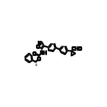 C[C@@H](OC(=O)Nc1oncc1-c1ccc(-c2ccc(C3(C=O)CC3)cc2)cc1)c1ccccc1